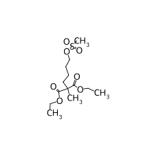 CCOC(=O)C(C)(CCCCOS(C)(=O)=O)C(=O)OCC